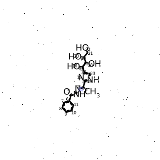 C/C(=N\NC(=O)c1ccccc1)c1nc([C@@H](O)[C@H](O)[C@H](O)CO)c[nH]1